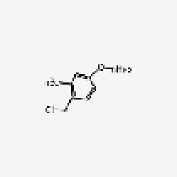 CCCCCCOc1ccc(CCl)c(CCCC)c1